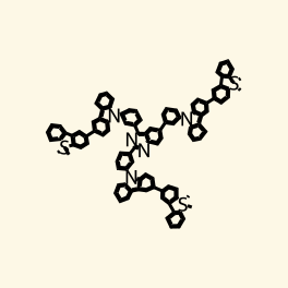 CS1(C)c2ccccc2-c2cc(-c3ccc4c(c3)c3ccccc3n4-c3cccc(-c4ccc5nc(-c6cccc(-n7c8ccccc8c8cc(-c9ccc%10c(c9)-c9ccccc9S%10(C)C)ccc87)c6)nc(-c6cccc(-n7c8ccccc8c8cc(-c9ccc%10c(c9)-c9ccccc9S%10(C)C)ccc87)c6)c5c4)c3)ccc21